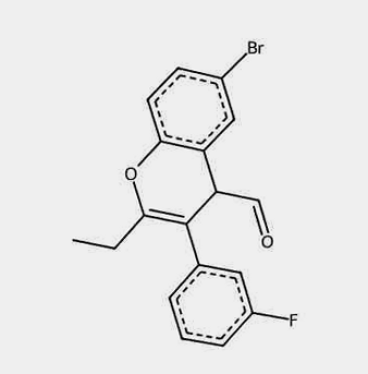 CCC1=C(c2cccc(F)c2)C(C=O)c2cc(Br)ccc2O1